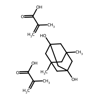 C=C(C)C(=O)O.C=C(C)C(=O)O.CC12CC3(C)CC(O)(C1)CC(O)(C2)C3